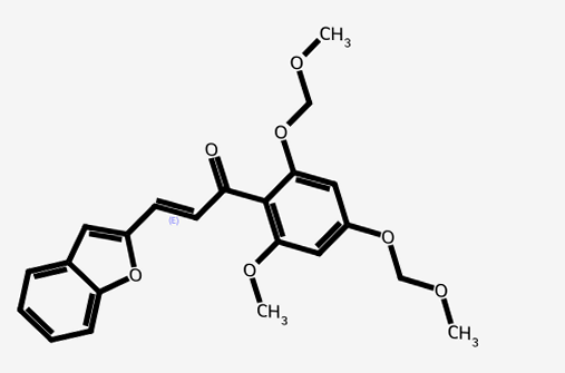 COCOc1cc(OC)c(C(=O)/C=C/c2cc3ccccc3o2)c(OCOC)c1